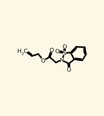 C=CCOC(=O)CN1C(=O)c2ccccc2S1(=O)=O